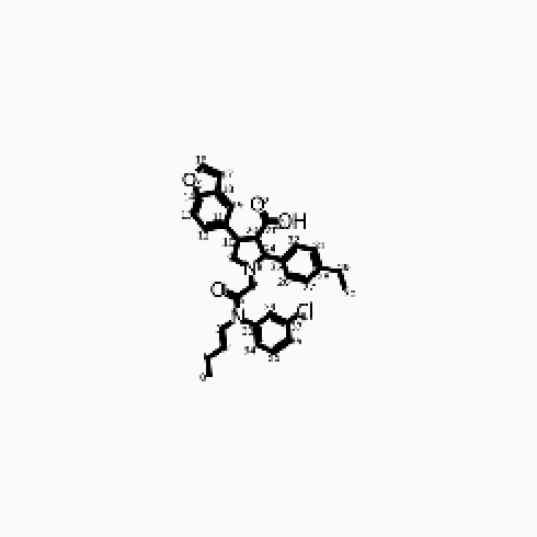 CCCCN(C(=O)CN1CC(c2ccc3occc3c2)C(C(=O)O)C1c1ccc(CC)cc1)c1cccc(Cl)c1